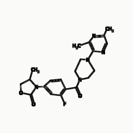 Cc1cnc(N2CCN(C(=O)c3ccc(N4C(=O)OCC4C)cc3F)CC2)c(C)n1